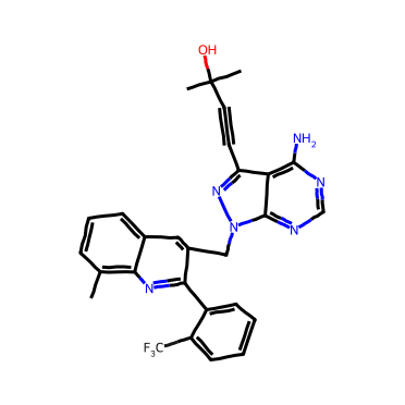 Cc1cccc2cc(Cn3nc(C#CC(C)(C)O)c4c(N)ncnc43)c(-c3ccccc3C(F)(F)F)nc12